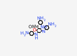 COC1=C(Nc2ccc(N)cc2)/C(=N\c2ccc(N)cc2)C=C(Nc2ccc(N)cc2)C1=O